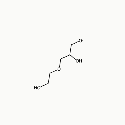 [O]CC(O)COCCO